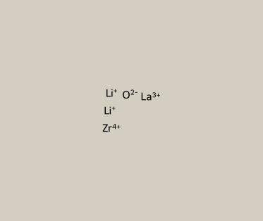 [La+3].[Li+].[Li+].[O-2].[Zr+4]